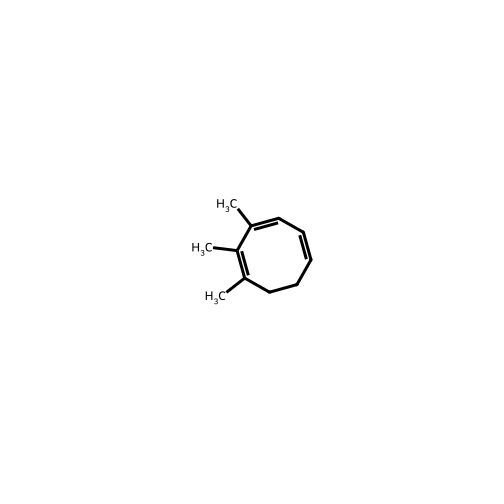 CC1=CC=CCCC(C)=C1C